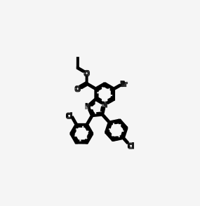 CCOC(=O)c1cc(Br)cn2c(-c3ccc(Cl)cc3)c(-c3ccccc3Cl)nc12